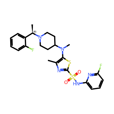 Cc1nc(S(=O)(=O)Nc2cccc(F)n2)sc1N(C)C1CCN([C@H](C)c2ccccc2F)CC1